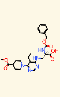 CCc1c(NC[C@H](NC(=O)OCc2ccccc2)C(=O)O)ncnc1N1CCC(C(=O)OC)CC1